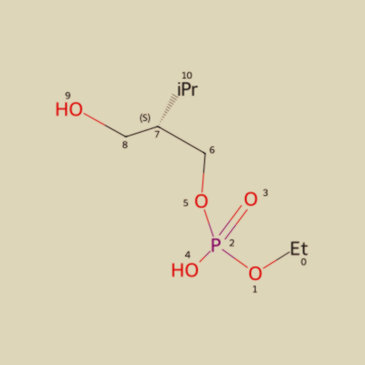 CCOP(=O)(O)OC[C@H](CO)C(C)C